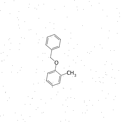 Cc1c[c]ccc1OCc1ccccc1